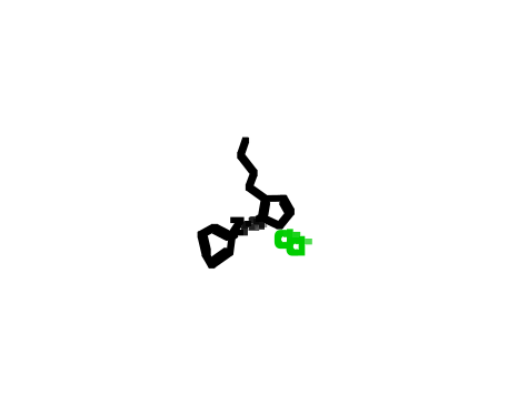 CCCCC1=[C]([Zr+2][c]2ccccc2)CC=C1.[Cl-].[Cl-]